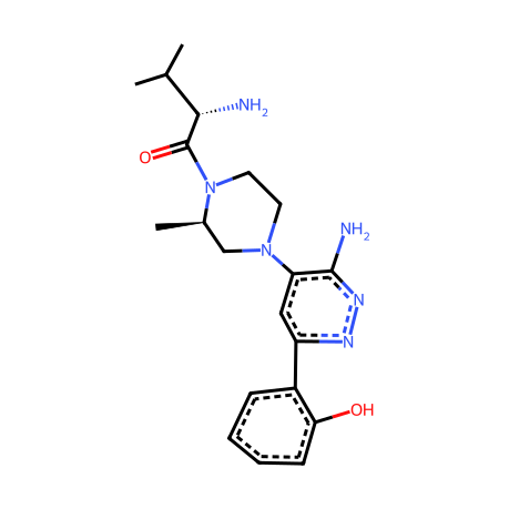 CC(C)[C@H](N)C(=O)N1CCN(c2cc(-c3ccccc3O)nnc2N)C[C@H]1C